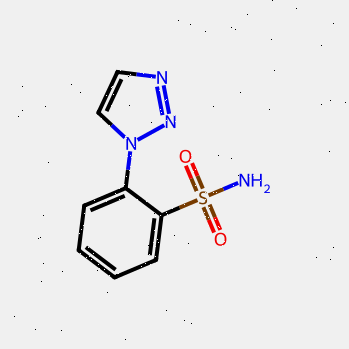 NS(=O)(=O)c1ccccc1-n1ccnn1